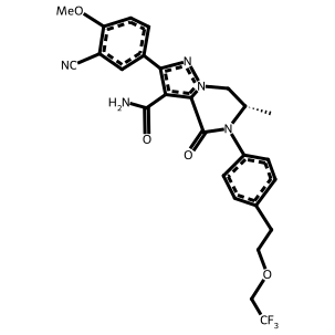 COc1ccc(-c2nn3c(c2C(N)=O)C(=O)N(c2ccc(CCOCC(F)(F)F)cc2)[C@@H](C)C3)cc1C#N